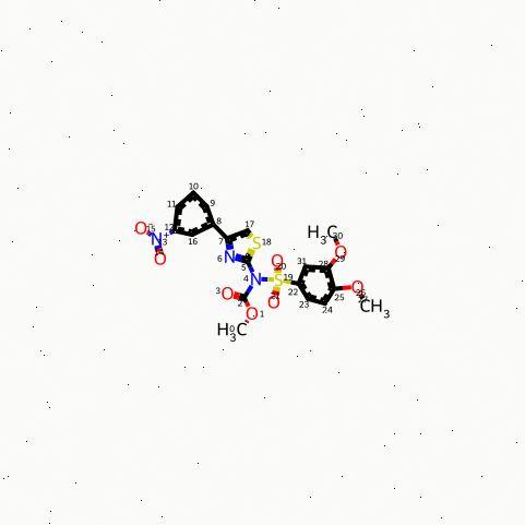 COC(=O)N(c1nc(-c2cccc([N+](=O)[O-])c2)cs1)S(=O)(=O)c1ccc(OC)c(OC)c1